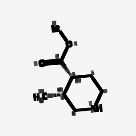 CCOC(=O)[C@@H]1CCNC[C@@H]1C